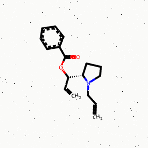 C=CCN1CCC[C@H]1C(C=C)OC(=O)c1ccccc1